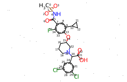 CS(=O)(=O)NC(=O)c1cc(C2CC2)c(O[C@@H]2CCCN(C(C(=O)O)c3cc(Cl)cc(Cl)c3)C2)cc1F